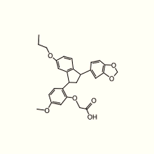 CCCOc1ccc2c(c1)C(c1ccc(OC)cc1OCC(=O)O)CC2c1ccc2c(c1)OCO2